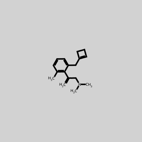 C=C(CN(C)C)c1c(C)cccc1CC1=CCC1